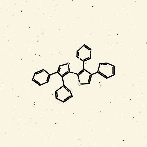 c1ccc(-c2coc(-c3occ(-c4ccccc4)c3-c3ccccc3)c2-c2ccccc2)cc1